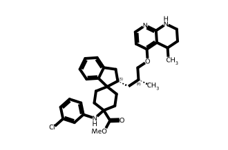 COC(=O)C1(Nc2cccc(Cl)c2)CCC2(CC1)c1ccccc1C[C@@H]2C[C@@H](C)COc1ccnc2c1C(C)CCN2